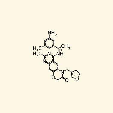 Cc1cc(N)cc([C@@H](C)Nc2nc(C)nc3cc4c(cc23)N(C[C@H]2CCOC2)C(=O)CO4)c1